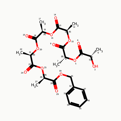 C[C@H](O)C(=O)O[C@H](C)C(=O)O[C@H](C)C(=O)O[C@H](C)C(=O)O[C@H](C)C(=O)O[C@H](C)C(=O)OCc1ccccc1